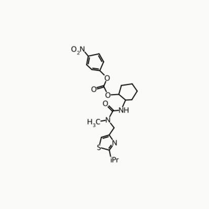 CC(C)c1nc(CN(C)C(=O)NC2CCCCC2OC(=O)Oc2ccc([N+](=O)[O-])cc2)cs1